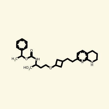 CC(OC(=O)NC(CCOC1CC(CCc2ccc3c(n2)NCCC3)C1)C(=O)O)c1ccccc1